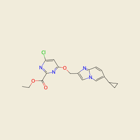 CCOC(=O)c1nc(Cl)cc(OCc2cn3cc(C4CC4)ccc3n2)n1